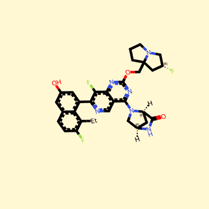 CCc1c(F)ccc2cc(O)cc(-c3ncc4c(N5C[C@H]6C[C@@H]5C(=O)N6)nc(OCC56CCCN5C[C@H](F)C6)nc4c3F)c12